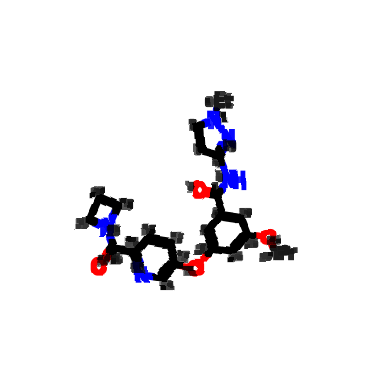 CCn1ccc(NC(=O)c2cc(Oc3ccc(C(=O)N4CCC4)nc3)cc(OC(C)C)c2)n1